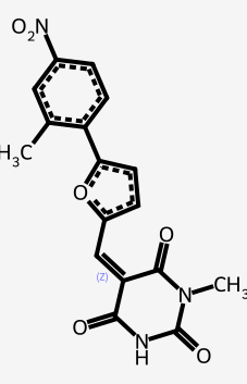 Cc1cc([N+](=O)[O-])ccc1-c1ccc(/C=C2/C(=O)NC(=O)N(C)C2=O)o1